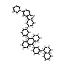 c1ccc(-c2ccc3oc4ccc(-c5cccc(-c6c7ccccc7c(-c7cccc(-c8cccc9ccccc89)c7)c7ccccc67)c5)cc4c3c2)cc1